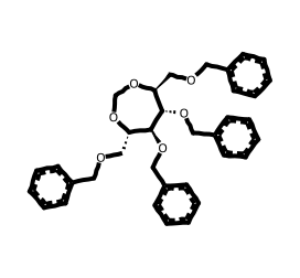 c1ccc(COC[C@@H]2OCO[C@@H](COCc3ccccc3)[C@H](OCc3ccccc3)[C@H]2OCc2ccccc2)cc1